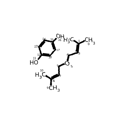 CC(C)=CCOCC=C(C)C.Oc1ccc(O)cc1